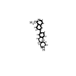 Cc1nccc2cc(-c3ccc4c(c3)CCC3(CCNCC3)O4)ccc12